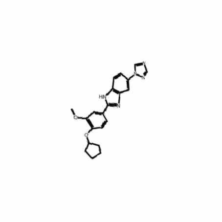 COc1cc(-c2nc3cc(-n4cncn4)ccc3[nH]2)ccc1OC1CCCC1